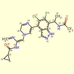 C=N/C(=C\N1C=C(c2c(Cl)c(F)c(C(C)NC(=O)C(F)(F)F)c3[nH]ncc23)N=CC1)NC(=O)C1CC1